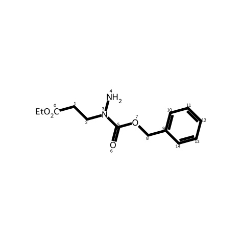 CCOC(=O)CCN(N)C(=O)OCc1ccccc1